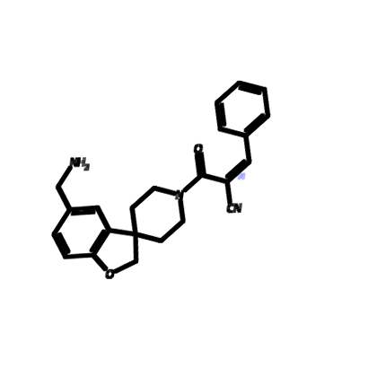 N#C/C(=C/c1ccccc1)C(=O)N1CCC2(CC1)COc1ccc(CN)cc12